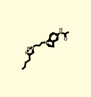 CCCCc1cn(CCCn2ccc3cc(NC(C)=O)ccc32)nn1